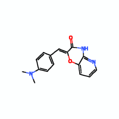 CN(C)c1ccc(/C=C2\Oc3cccnc3NC2=O)cc1